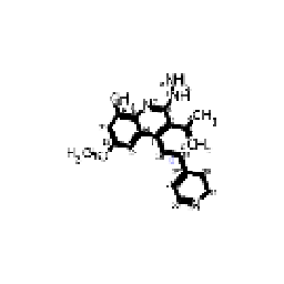 C=C(C)c1c(NN)nc2c(C)cc(OC)cc2c1/C=C/C1=CC=NCC1